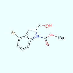 CC(C)(C)OC(=O)n1c(CO)cc2c(Br)cccc21